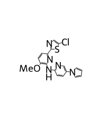 COc1ccc(-c2ncc(Cl)s2)nc1Nc1ccc(-n2cccc2)cn1